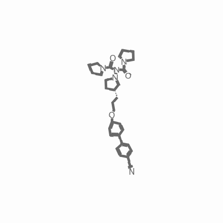 N#Cc1ccc(-c2ccc(OCCC[C@@H]3CCN(N(C(=O)N4CCCC4)C(=O)N4CCCC4)C3)cc2)cc1